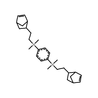 C[Si](C)(CCC1CC2C=CC1C2)c1ccc([Si](C)(C)CCC2CC3C=CC2C3)cc1